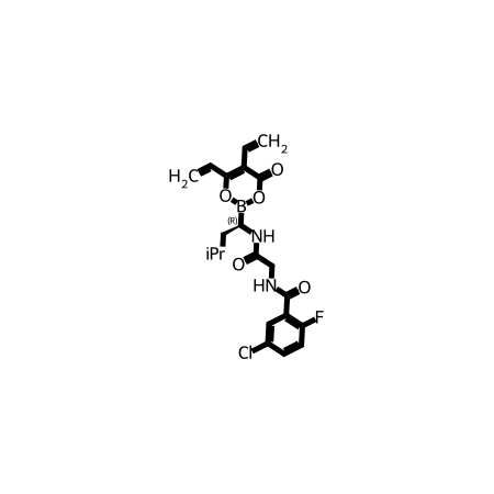 C=CC1=C(C=C)C(=O)OB([C@H](CC(C)C)NC(=O)CNC(=O)c2cc(Cl)ccc2F)O1